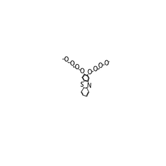 COCOCOCOc1cc2c(cc1OCOCOCOC)SC1C=CC=CC1=N2